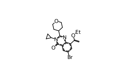 C=C(OCC)c1cc(Br)cc2c(=O)n(C3CC3)c(C3CCOCC3)nc12